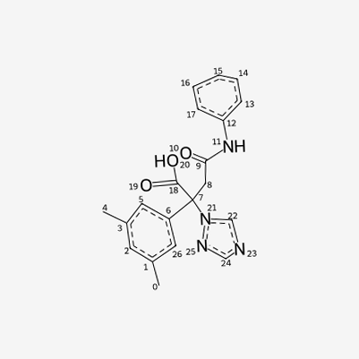 Cc1cc(C)cc(C(CC(=O)Nc2ccccc2)(C(=O)O)n2cncn2)c1